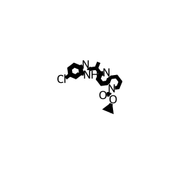 CC(c1ccc2c(n1)CCCN2C(=O)OC1CC1)c1nc2ccc(Cl)cc2[nH]1